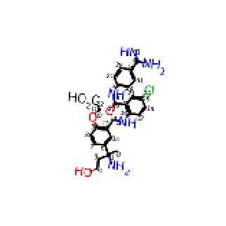 CC(N)(CCO)c1ccc(OCC(=O)O)c(CNc2ccc(Cl)cc2C(=O)Nc2ccc(C(=N)N)cc2)c1